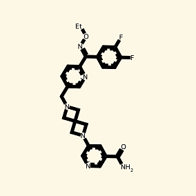 CCON=C(c1ccc(F)c(F)c1)c1ccc(CN2CC3(C2)CN(c2cncc(C(N)=O)c2)C3)cn1